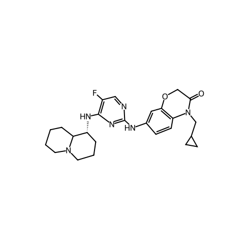 O=C1COc2cc(Nc3ncc(F)c(N[C@@H]4CCCN5CCCCC45)n3)ccc2N1CC1CC1